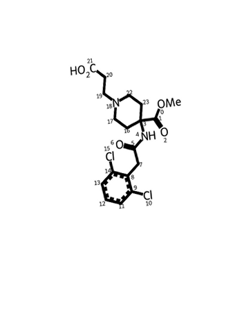 COC(=O)C1(NC(=O)Cc2c(Cl)cccc2Cl)CCN(CCC(=O)O)CC1